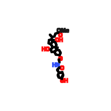 COC(=O)CCC(C)C1CCC2C3C(O)CC4CC(OCCNC(=O)Cc5ccc(O)cc5)CCC4(C)C3CC(O)C12C